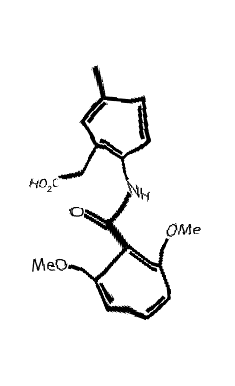 COc1cccc(OC)c1C(=O)Nc1ccc(C)cc1C(=O)O